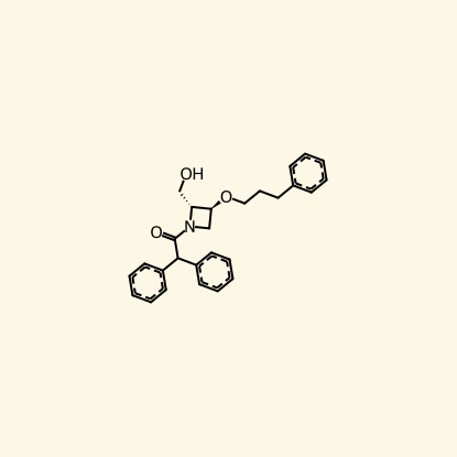 O=C(C(c1ccccc1)c1ccccc1)N1C[C@H](OCCCc2ccccc2)[C@H]1CO